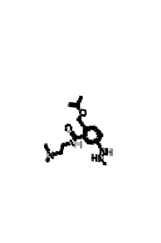 C=C(C)OCc1ccc(NNC)cc1C(=O)NCCN(C)C